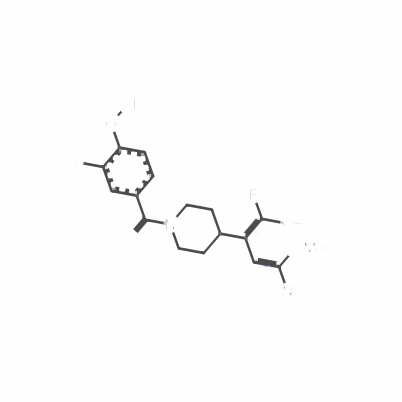 CC/C(C)=C(/C=C(/N)OC)C1CCN(C(=O)c2ccc(OC(F)(F)F)c(F)c2)CC1